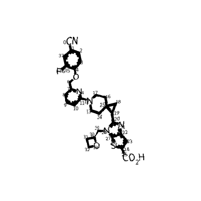 N#Cc1ccc(OCc2cccc(N3CCC4(CC3)CC4c3nc4cc(C(=O)O)sc4n3C[C@@H]3CCO3)n2)c(F)c1